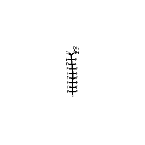 O=C(NO)C(F)(F)C(F)(F)C(F)(F)C(F)(F)C(F)(F)C(F)(F)C(F)(F)C(F)(F)F